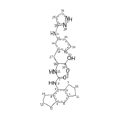 O=C(Nc1c2c(cc3c1CCC3)CCC2)NC(Cc1cccc(Nc2cc[nH]n2)c1)C(=O)O